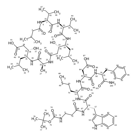 CC(C)CC(=O)N[C@H](C(=O)N[C@H](C(=O)N[C@@H](CC(C)C)[C@@H](O)CC(=O)N[C@@H](C)C(=O)N[C@@H](CC(C)C)[C@@H](O)CC(=O)O)C(C)C)C(C)C.CSCC[C@H](NC(=O)[C@H](Cc1c[nH]c2ccccc12)NC(=O)CCNC(=O)OC(C)(C)C)C(=O)N[C@@H](CC(=O)O)C(=O)N[C@@H](Cc1ccccc1)C(N)=O